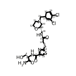 NC(=O)[C@H](CO)NC(=O)c1csc(SCC(=O)NC[C@H]2CN(CC3C=C(Cl)C(Cl)=CC3)CCO2)n1